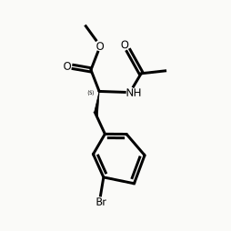 COC(=O)[C@H](Cc1cccc(Br)c1)NC(C)=O